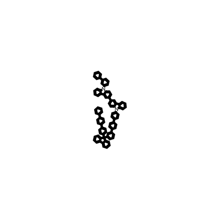 c1ccc(-c2ccc(-c3ccc(C4(c5cccc(-c6ccc(-c7ccc(-n8c9ccccc9c9cc(-c%10ccc%11c(c%10)c%10ccccc%10n%11-c%10cccc(-c%11ccccc%11)c%10)ccc98)cc7)cc6)c5)c5ccccc5-c5ccccc54)cc3)cc2)cc1